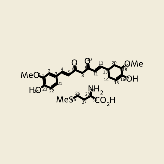 COc1cc(/C=C/C(=O)CC(=O)/C=C/C2CC=C(O)C(OC)C2)ccc1O.CSCCC(N)C(=O)O